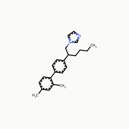 CCCCC(Cn1ccnc1)c1ccc(-c2ccc(C)cc2C)cc1